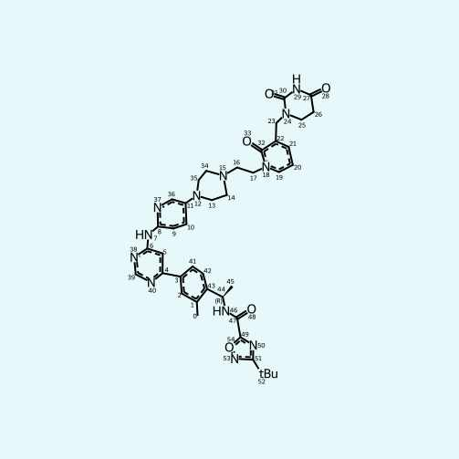 Cc1cc(-c2cc(Nc3ccc(N4CCN(CCn5cccc(CN6CCC(=O)NC6=O)c5=O)CC4)cn3)ncn2)ccc1[C@@H](C)NC(=O)c1nc(C(C)(C)C)no1